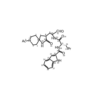 CC(=O)N1CCC2(CC1)CC(CC(C=O)NC(=O)[C@H](CC(C)C)NC(=O)c1cc3ccccc3[nH]1)C(=O)N2